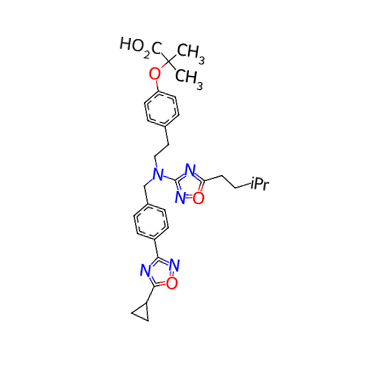 CC(C)CCc1nc(N(CCc2ccc(OC(C)(C)C(=O)O)cc2)Cc2ccc(-c3noc(C4CC4)n3)cc2)no1